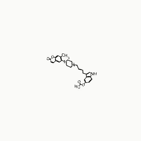 Cc1cc2oc(=O)ccc2cc1N1CCN(CCCCc2c[nH]c3ccc(OC(=O)O)cc23)CC1